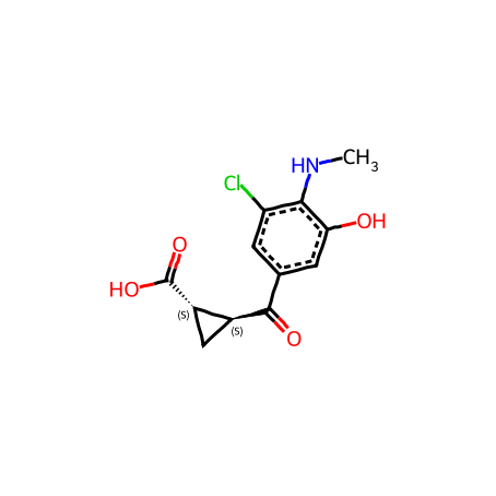 CNc1c(O)cc(C(=O)[C@H]2C[C@@H]2C(=O)O)cc1Cl